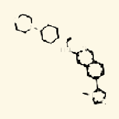 Cn1cncc1-c1ccc2cnc(NC(=O)[C@H]3CC[C@H](N4CCOCC4)CC3)cc2c1